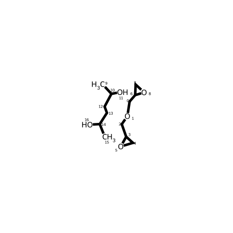 C(OCC1CO1)C1CO1.CC(O)CCC(C)O